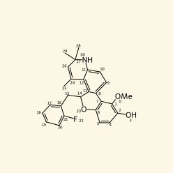 COc1c(O)ccc2c1-c1ccc3c(c1C(Cc1ccccc1F)O2)C(C)=CC(C)(C)N3